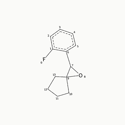 Fc1ccccc1C1OC12CCCC2